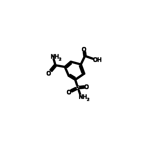 NC(=O)c1cc(C(=O)O)cc(S(N)(=O)=O)c1